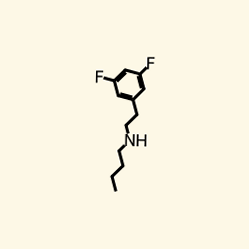 CCCCNCCc1cc(F)cc(F)c1